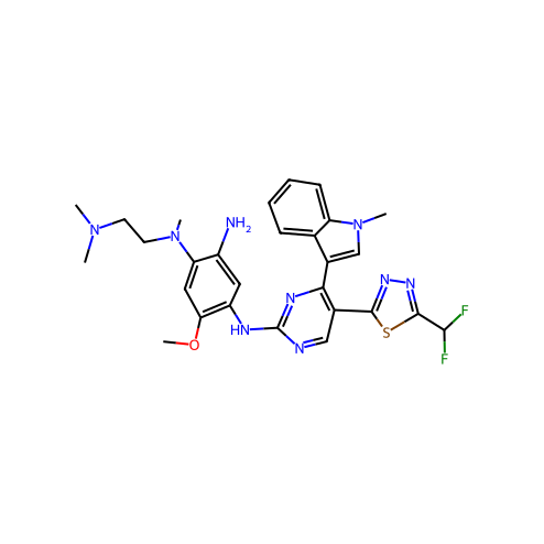 COc1cc(N(C)CCN(C)C)c(N)cc1Nc1ncc(-c2nnc(C(F)F)s2)c(-c2cn(C)c3ccccc23)n1